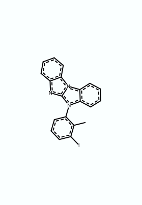 Cc1c(I)cccc1-n1c2ccccc2n2c3ccccc3nc12